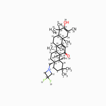 CC1(C)CC[C@]2(CN3CC(F)(F)C3)CC[C@]3(C)[C@H](C(=O)C=C4[C@@]5(C)CC(C#N)=C(O)C(C)(C)[C@@H]5CC[C@]43C)[C@@H]2C1